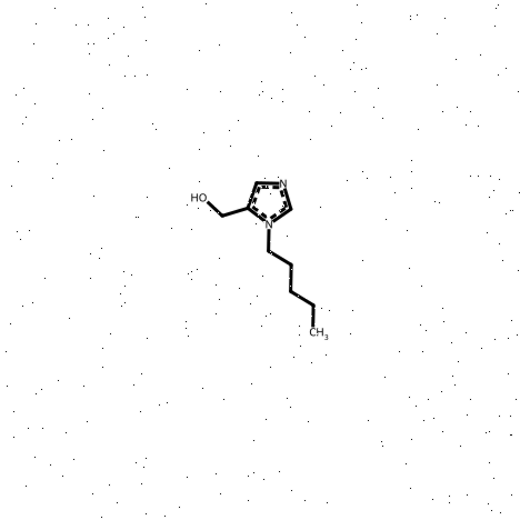 CCCCCn1cncc1CO